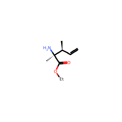 C=C[C@H](C)[C@](C)(N)C(=O)OCC